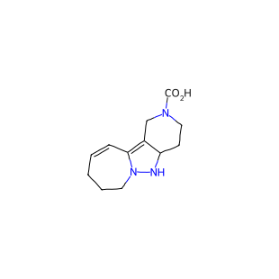 O=C(O)N1CCC2NN3CCCC=CC3=C2C1